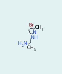 Cc1nc(NCCC(C)N)ccc1Br